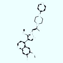 C=Nc1c(-c2ccnc3cc(F)c(OC)cc23)cnn1/C=C(\C)N1CCN(c2ccncc2)CC1